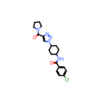 O=C(NC1CCC(n2cc(C(=O)N3CCCC3)nn2)CC1)c1ccc(Cl)cc1